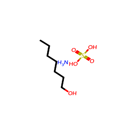 CCCCCCCO.N.O=S(=O)(O)O